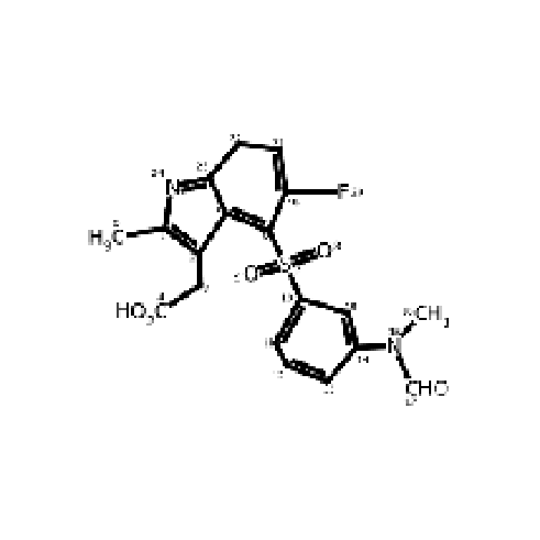 CC1=C(CC(=O)O)C2=C(S(=O)(=O)c3cccc(N(C)C=O)c3)C(F)=CCC2=N1